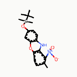 Cc1ccc2c(c1[N+](=O)[O-])Nc1ccc(O[Si](C)(C)C(C)(C)C)cc1O2